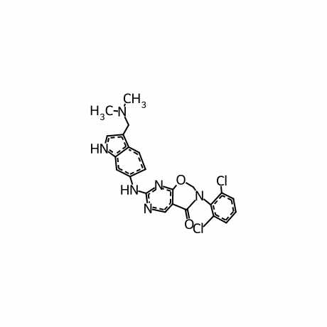 CN(C)Cc1c[nH]c2cc(Nc3ncc4c(n3)OCN(c3c(Cl)cccc3Cl)C4=O)ccc12